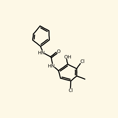 Cc1c(Cl)cc(NC(=O)Nc2ccccc2)c(O)c1Cl